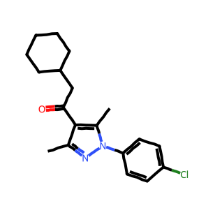 Cc1nn(-c2ccc(Cl)cc2)c(C)c1C(=O)CC1CCCCC1